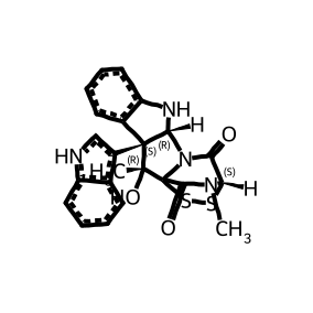 CN1C(=O)C23SS[C@H]1C(=O)N2[C@H]1Nc2ccccc2[C@@]1(c1c[nH]c2ccccc12)[C@@]3(C)O